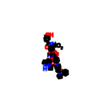 CC(C)c1ccccc1[C@H]1CCCN1C1CC2(CCN(c3ccc(C(=O)NS(=O)(=O)c4cc5c(c([N+](=O)[O-])c4)N[C@@H]([C@H]4CC[C@](C)(O)CC4)CO5)c(Oc4cc5cc[nH]c5nc4OC[C@H]4CCN4C)c3)CC2)C1